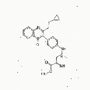 C[C@H](CC(=N)C(=O)OC(C)(C)C)Nc1ccc(-c2c(CCC3CC3)nc3ccccn3c2=O)cc1